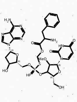 COC1C(OP(=P)(OC[C@H]2O[C@@H](n3cnc4c(N)ncnc43)CC2O)SCOC(=O)C(N)Cc2ccccc2)[C@@H](CO)O[C@H]1n1ccc(=O)[nH]c1=O